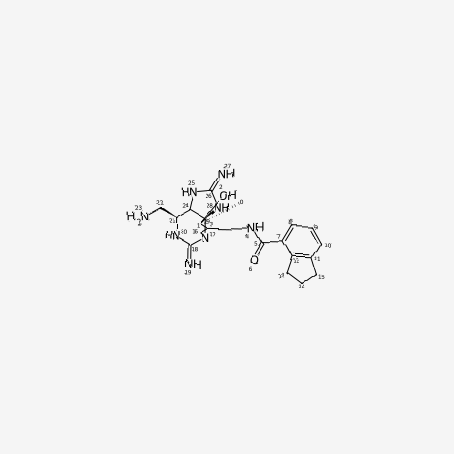 C[C@@]1(O)C(NC(=O)c2cccc3c2CCC3)CN2C(=N)N[C@@H](CN)C3NC(=N)N[C@@]321